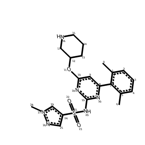 Cc1cccc(C)c1-c1cc(OC2CCCNC2)nc(NS(=O)(=O)c2cnn(C)c2)n1